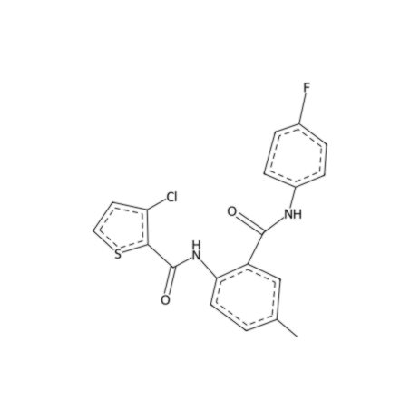 Cc1ccc(NC(=O)c2sccc2Cl)c(C(=O)Nc2ccc(F)cc2)c1